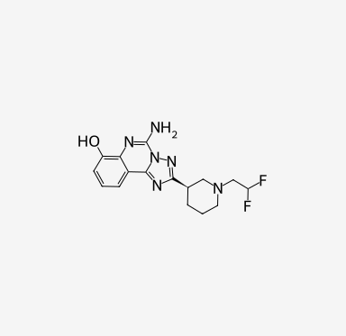 Nc1nc2c(O)cccc2c2nc([C@@H]3CCCN(CC(F)F)C3)nn12